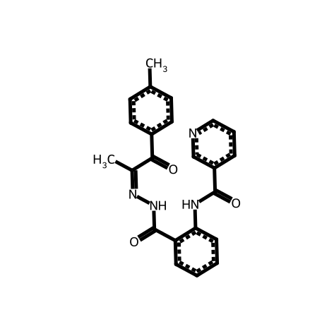 C/C(=N/NC(=O)c1ccccc1NC(=O)c1cccnc1)C(=O)c1ccc(C)cc1